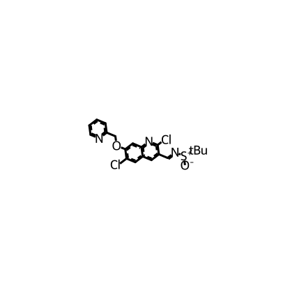 CC(C)(C)[S@@+]([O-])/N=C/c1cc2cc(Cl)c(OCc3ccccn3)cc2nc1Cl